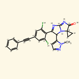 Cn1nccc1C1C(c2c(F)cc(C#Cc3ccccc3)cc2F)=NC2=NC(=O)C3(CC3)N21